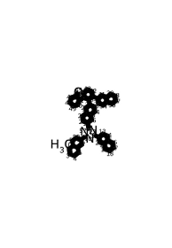 CC12C=CC=CC1=CC(c1nc(-c3ccc4ccccc4c3)nc(-c3ccc4cc(-c5c(-c6ccc7ccccc7c6)ccc6oc7ccccc7c56)ccc4c3)n1)=CC2